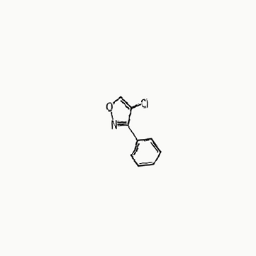 Clc1conc1-c1ccccc1